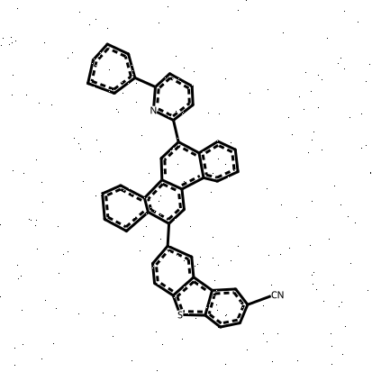 N#Cc1ccc2sc3ccc(-c4cc5c6ccccc6c(-c6cccc(-c7ccccc7)n6)cc5c5ccccc45)cc3c2c1